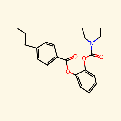 CCCc1ccc(C(=O)Oc2ccccc2OC(=O)N(CC)CC)cc1